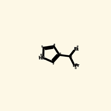 CCCC(CC)c1cc[nH]c1